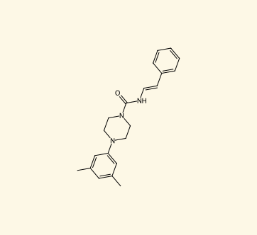 Cc1cc(C)cc(N2CCN(C(=O)N/C=C/c3ccccc3)CC2)c1